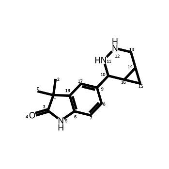 CC1(C)C(=O)Nc2ccc(C3NNCC4CC43)cc21